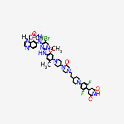 COc1cc(N2CCC(N3CCN(CCC4CCN(c5cc(F)c(C6CC(=O)NC(=O)C6)c(F)c5)CC4)CC3=O)CC2)c(C)cc1Nc1ncc(Br)c(Nc2ccc3nccnc3c2P(C)(C)=O)n1